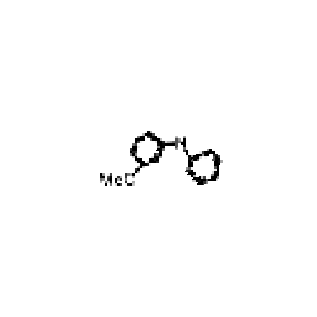 COc1cccc([N]c2ccccc2)c1